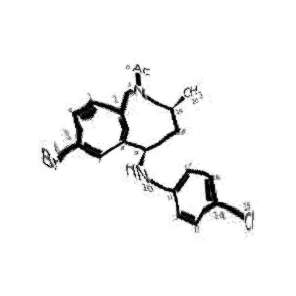 CC(=O)N1c2ccc(Br)cc2[C@H](Nc2ccc(Cl)cc2)C[C@@H]1C